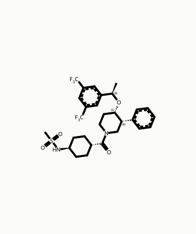 C[C@@H](O[C@H]1CCN(C(=O)[C@H]2CC[C@H](NS(C)(=O)=O)CC2)C[C@H]1c1ccccc1)c1cc(C(F)(F)F)cc(C(F)(F)F)c1